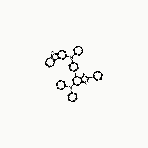 c1ccc(-c2nc3c(-c4ccc(N(c5ccccc5)c5ccc6oc7ccccc7c6c5)cc4)cc(N(c4ccccc4)c4ccccc4)cc3o2)cc1